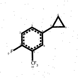 Fc1ccc(C2CC2)cc1C(F)(F)F